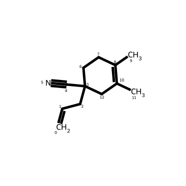 C=CCC1(C#N)CCC(C)=C(C)C1